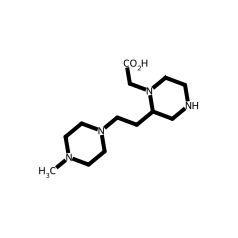 CN1CCN(CCC2CNC[CH]N2CC(=O)O)CC1